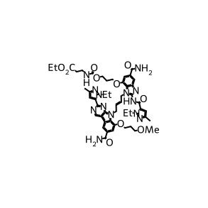 CCOC(=O)CCNC(=O)OCCCOc1cc(C(N)=O)cc2nc(NC(=O)c3cc(C)nn3CC)n(C/C=C/Cn3c4nc(-c5cc(C)nn5CC)ncc4c4cc(C(N)=O)cc(OCCCOC)c43)c12